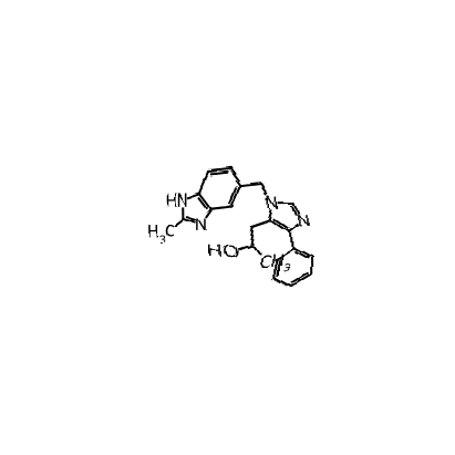 Cc1nc2cc(Cn3cnc(-c4ccccc4)c3CC(C)O)ccc2[nH]1